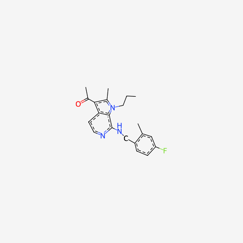 CCCn1c(C)c(C(C)=O)c2ccnc(NCc3ccc(F)cc3C)c21